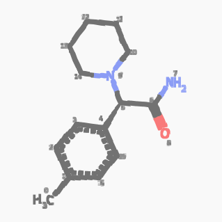 Cc1ccc([C@H](C(N)=O)N2CCCCC2)cc1